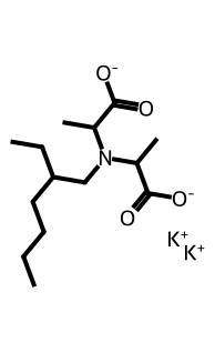 CCCCC(CC)CN(C(C)C(=O)[O-])C(C)C(=O)[O-].[K+].[K+]